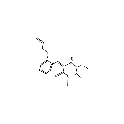 C=CCOc1ccccc1C=C(C(=O)OC)C(=O)C(OC)OC